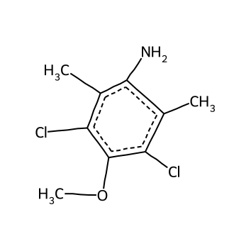 COc1c(Cl)c(C)c(N)c(C)c1Cl